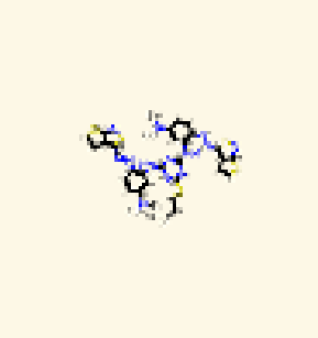 CCN(CC)c1ccc(/N=N/c2snc3sccc23)c(Nc2nc(Nc3cc(N(CC)CC)ccc3/N=N/c3snc4sccc34)nc(SCCS(=O)(=O)O)n2)c1